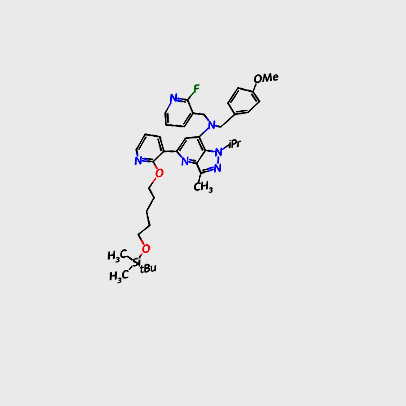 COc1ccc(CN(Cc2cccnc2F)c2cc(-c3cccnc3OCCCCCO[Si](C)(C)C(C)(C)C)nc3c(C)nn(C(C)C)c23)cc1